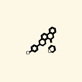 C1=CCOC=C1.C=C1Cc2ccccc2-c2ccc3c(c21)CCC(c1ccc(Cl)cc1)C3